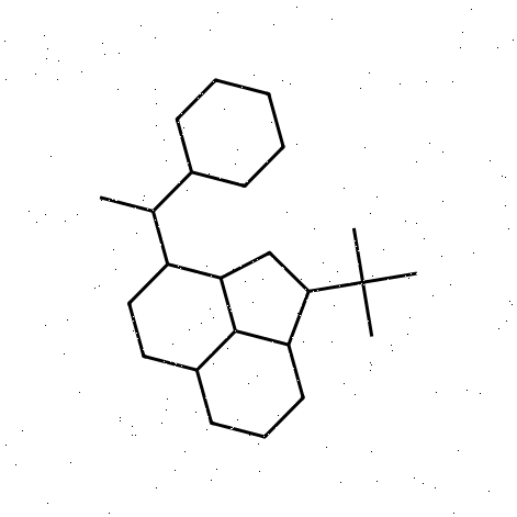 CC(C1CCCCC1)C1CCC2CCCC3C2C1CC3C(C)(C)C